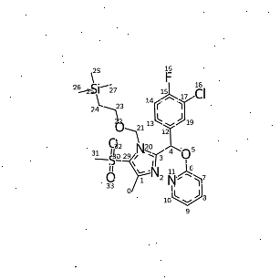 Cc1nc(C(Oc2ccccn2)c2ccc(F)c(Cl)c2)n(COCC[Si](C)(C)C)c1S(C)(=O)=O